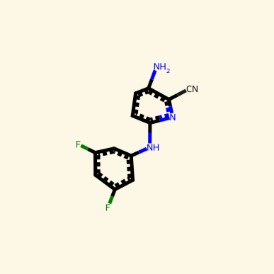 N#Cc1nc(Nc2cc(F)cc(F)c2)ccc1N